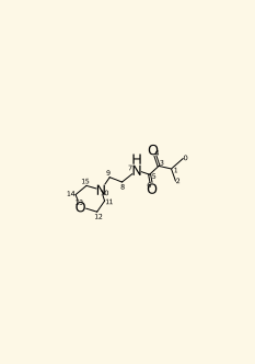 CC(C)C(=O)C(=O)NCCN1CCOCC1